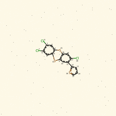 Clc1cc2c(cc1Cl)Sc1cc(-c3cccs3)c(Cl)cc1S2